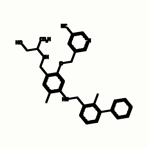 Cc1cc(CNC(CO)C(=O)O)c(OCc2cncc(C#N)c2)cc1NCc1cccc(-c2ccccc2)c1C